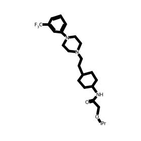 CC(C)OCC(=O)NC1CCC(CCN2CCN(c3cccc(C(F)(F)F)c3)CC2)CC1